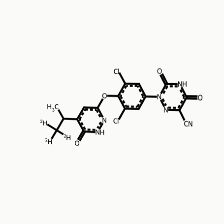 [2H]C([2H])([2H])C(C)c1cc(Oc2c(Cl)cc(-n3nc(C#N)c(=O)[nH]c3=O)cc2Cl)n[nH]c1=O